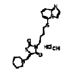 Cl.Cl.O=C1S/C(=C\N2CCCCC2)C(=O)N1CCCCSc1cccc2nccn12